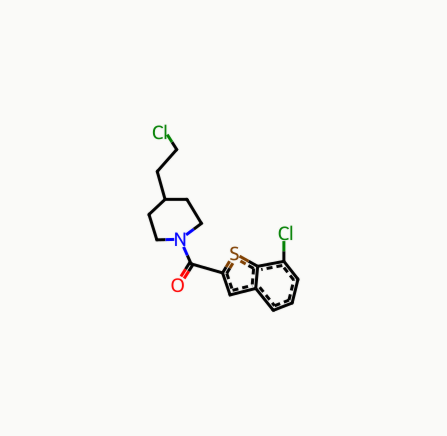 O=C(c1cc2cccc(Cl)c2s1)N1CCC(CCCl)CC1